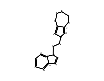 C1=CC(CCC2C=C3CCCCCC3=C2)c2ccccc21